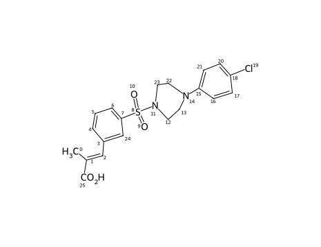 CC(=Cc1cccc(S(=O)(=O)N2CCN(c3ccc(Cl)cc3)CC2)c1)C(=O)O